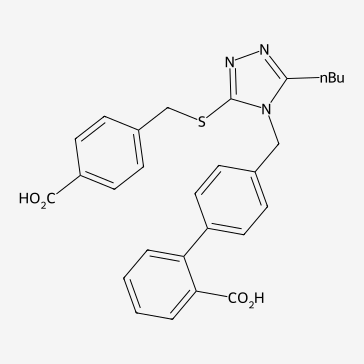 CCCCc1nnc(SCc2ccc(C(=O)O)cc2)n1Cc1ccc(-c2ccccc2C(=O)O)cc1